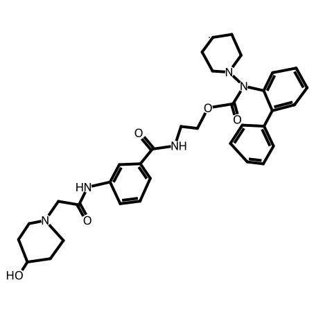 O=C(CN1CCC(O)CC1)Nc1cccc(C(=O)NCCOC(=O)N(c2ccccc2-c2ccccc2)N2CC[CH]CC2)c1